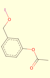 CC(=O)Oc1cccc(COI)c1